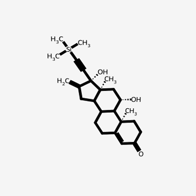 C=C1CC2C3CCC4=CC(=O)CC[C@]4(C)C3[C@@H](O)C[C@]2(C)[C@]1(O)C#C[Si](C)(C)C